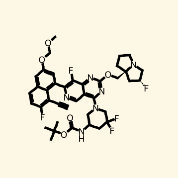 C#Cc1c(F)ccc2cc(OCOC)cc(-c3ncc4c(N5CC(NC(=O)OC(C)(C)C)CC(F)(F)C5)nc(OC[C@@]56CCCN5C[C@H](F)C6)nc4c3F)c12